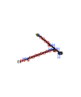 CCOCCOCCNC(=O)CCOCCOCCOCCOCCOCCOCCOCCOCCNC(=O)C(CCCCNC(=O)CCOCCOCCOCCOCCN=C=S)NC(=O)CCCc1c[nH]c2ccccc12